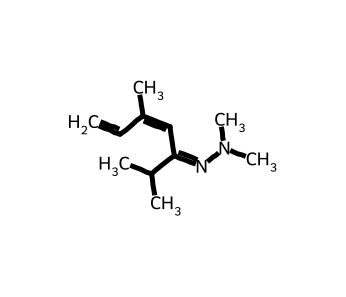 C=C/C(C)=C\C(=N/N(C)C)C(C)C